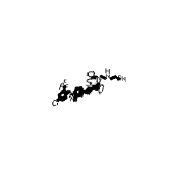 O=C1S/C(=C\c2ccc3c(cnn3Cc3ccc(Cl)cc3C(F)(F)F)c2)C(=O)N1CCNCCCO